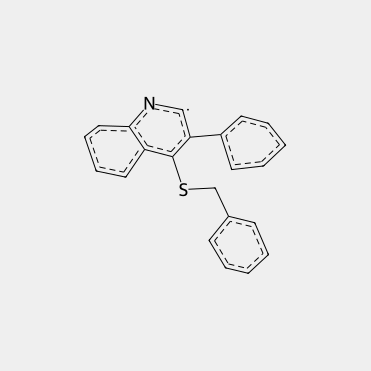 [c]1nc2ccccc2c(SCc2ccccc2)c1-c1ccccc1